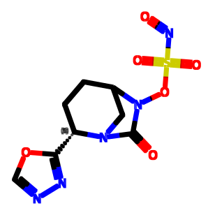 O=NS(=O)(=O)ON1C(=O)N2CC1CC[C@H]2c1nnco1